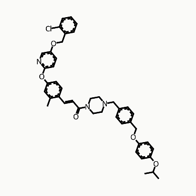 Cc1cc(Oc2ccc(OCc3ccccc3Cl)cn2)ccc1/C=C/C(=O)N1CCN(Cc2ccc(COc3ccc(OC(C)C)cc3)cc2)CC1